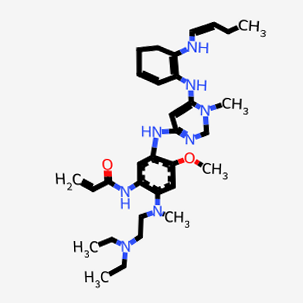 C=CC(=O)Nc1cc(NC2=NCN(C)C(NC3=C(N/C=C\CC)CCC=C3)=C2)c(OC)cc1N(C)CCN(CC)CC